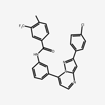 Cc1ccc(C(=O)Nc2cccc(-c3ccnc4cc(-c5ccc(Cl)cc5)nn34)c2)cc1C(F)(F)F